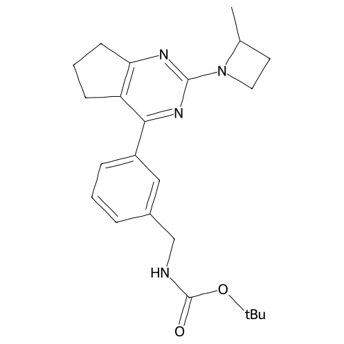 CC1CCN1c1nc2c(c(-c3cccc(CNC(=O)OC(C)(C)C)c3)n1)CCC2